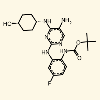 CC(C)(C)OC(=O)Nc1ccc(F)cc1Nc1ncc(N)c(N[C@H]2CC[C@H](O)CC2)n1